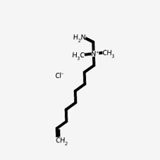 C=CCCCCCCC[N+](C)(C)CN.[Cl-]